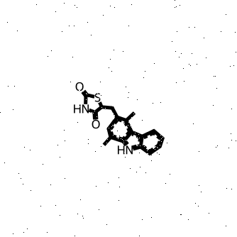 Cc1cc(CC2SC(=O)NC2=O)c(C)c2c1[nH]c1ccccc12